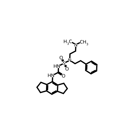 CN(C)CCN(CCc1ccccc1)S(=O)(=O)NC(=O)Nc1c2c(cc3c1CCC3)CCC2